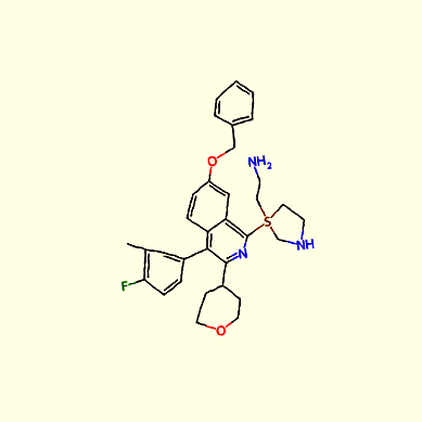 Cc1cc(-c2c(C3CCOCC3)nc(S3(CCN)CCNC3)c3cc(OCc4ccccc4)ccc23)ccc1F